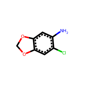 Nc1cc2c(cc1Cl)OCO2